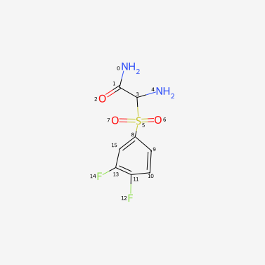 NC(=O)C(N)S(=O)(=O)c1ccc(F)c(F)c1